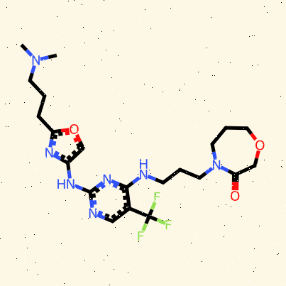 CN(C)CCCc1nc(Nc2ncc(C(F)(F)F)c(NCCCN3CCCOCC3=O)n2)co1